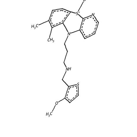 COc1ccsc1CNCCCN1c2cccnc2[S+]([O-])c2ccc(C)c(C)c21